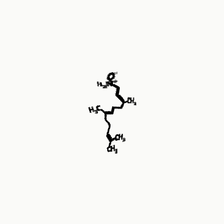 CC(C)=CCCC(C)=CCCC(C)=CC[NH2+][O-]